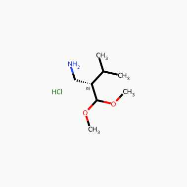 COC(OC)[C@H](CN)C(C)C.Cl